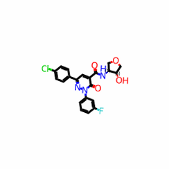 O=C(N[C@H]1COC[C@H]1O)c1cc(-c2ccc(Cl)cc2)nn(-c2cccc(F)c2)c1=O